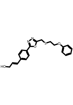 OCC=Cc1ccc(-c2nnc(CSCCOc3ccccc3)o2)cc1